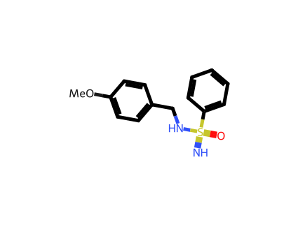 COc1ccc(CNS(=N)(=O)c2ccccc2)cc1